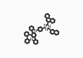 c1ccc2c(c1)-c1ccccc1-n1c3ccccc3c3cc4c(c-2c31)c1ccccc1n4-c1ccc(-c2nc(-c3ccc4ccccc4c3)nc(-c3cc4ccccc4c4ccccc34)n2)cc1